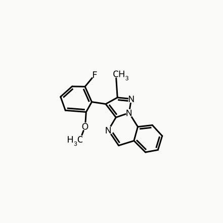 COc1cccc(F)c1-c1c(C)nn2c1ncc1ccccc12